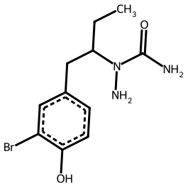 CCC(Cc1ccc(O)c(Br)c1)N(N)C(N)=O